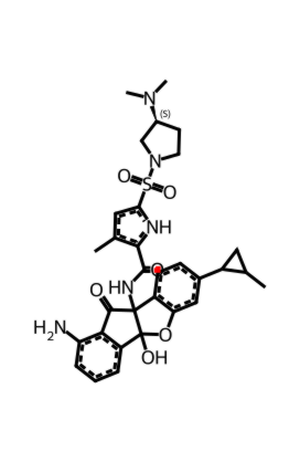 Cc1cc(S(=O)(=O)N2CC[C@H](N(C)C)C2)[nH]c1C(=O)NC12C(=O)c3c(N)cccc3C1(O)Oc1cc(C3CC3C)ccc12